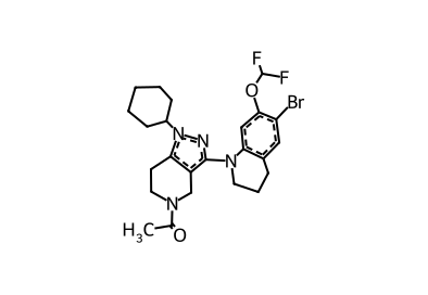 CC(=O)N1CCc2c(c(N3CCCc4cc(Br)c(OC(F)F)cc43)nn2C2CCCCC2)C1